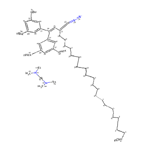 CCCCCCCCCCCCCCCCCCCCCCCCCCCCCCC(=C=[N+]=[N-])C=C(c1cc(CCCC)cc(CCCC)c1)c1cc(CCCCCC)cc(CCCCCC)c1.CC[N](C)[Ni][N](C)CC